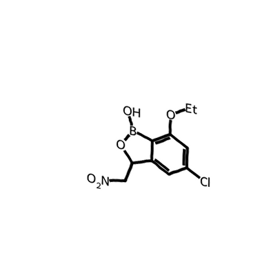 CCOc1cc(Cl)cc2c1B(O)OC2C[N+](=O)[O-]